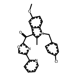 COc1ccc2c(c1)c(C(=O)c1nc(-c3ccccn3)co1)c(C)n2Cc1ccc(Cl)cc1